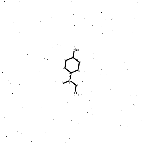 CN(CC(F)(F)F)C1CCC(C(C)(C)C)CC1